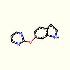 c1cnc(Oc2ccc3cc[nH]c3c2)nc1